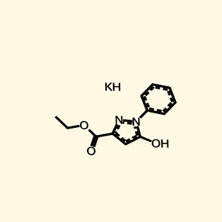 CCOC(=O)c1cc(O)n(-c2ccccc2)n1.[KH]